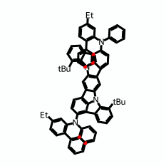 CCc1ccc(-c2ccccc2)c(N(c2ccccc2)c2ccc3c4cc5c(cc4n4c6c(C(C)(C)C)cccc6c2c34)c2ccc(N(c3ccccc3)c3cc(CC)ccc3-c3ccccc3)c3c4cccc(C(C)(C)C)c4n5c23)c1